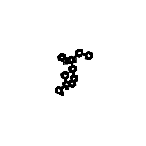 C1=CCC(c2cc(C3=CC=CC4CC34)nc3ccc4ccc(-c5ccc(C6N=C(C7=CC(C8=CCCC=C8)CC=C7)C=C(c7ccccc7)N6)cc5)cc4c23)C=C1